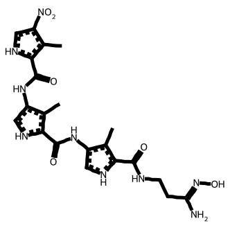 Cc1c(NC(=O)c2[nH]cc(NC(=O)c3[nH]cc([N+](=O)[O-])c3C)c2C)c[nH]c1C(=O)NCCC(N)=NO